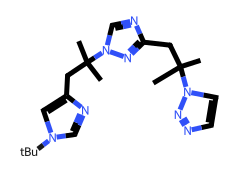 CC(C)(C)n1cnc(CC(C)(C)n2cnc(CC(C)(C)n3ccnn3)n2)c1